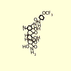 CN(C)c1cc(CNC(=O)Nc2ccc(OC(F)(F)F)cc2)c(O)c2c1C[C@H]1C[C@H]3CC(O)C(C(N)=O)C(=O)[C@@]3(O)C(O)=C1C2=O